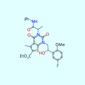 CCOC(=O)c1sc2c(c1C)c(=O)n(C(C)C(=O)NC(C)C)c(=O)n2CC(O)c1cc(F)ccc1OC